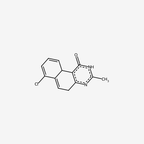 Cc1nc2c(c(=O)[nH]1)C1C=CC=C(Cl)C1=CC2